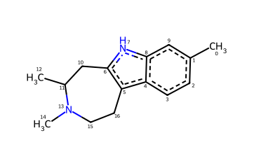 Cc1ccc2c3c([nH]c2c1)CC(C)N(C)CC3